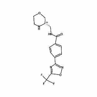 O=C(NC[C@H]1COCCN1)c1ccc(-c2noc(C(F)(F)F)n2)cc1